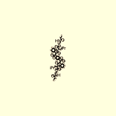 C=CC(=O)NCCOC(=O)C(CC(C)C)N1C(=O)/C(=C2/C(=O)Oc3cc4c(cc32)OC(=O)/C4=C2/C(=O)N(C(CC(C)C)C(=O)OCCNC(=O)C=C)c3ccccc32)c2ccccc21